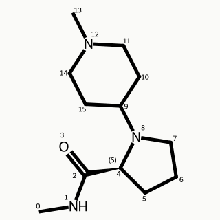 CNC(=O)[C@@H]1CCCN1C1CCN(C)CC1